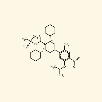 Cc1cc([N+](=O)[O-])c(OC(C)C)cc1C1=C[C@@H](C2CCCCC2)N(C(=O)OC(C)(C)C)[C@@H](C2CCCCC2)C1